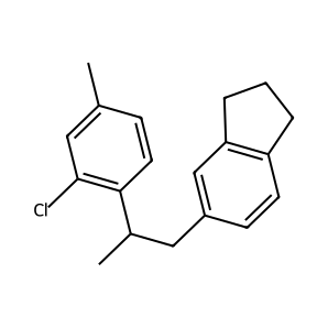 Cc1ccc(C(C)Cc2ccc3c(c2)CCC3)c(Cl)c1